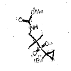 COC(=O)NCC(C)(C)S(=O)(=O)C1(C(C)(C)C)CC1